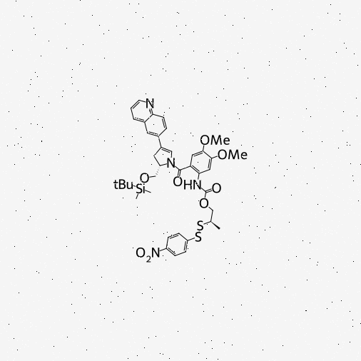 COc1cc(NC(=O)OC[C@@H](C)SSc2ccc([N+](=O)[O-])cc2)c(C(=O)N2C=C(c3ccc4ncccc4c3)C[C@H]2CO[Si](C)(C)C(C)(C)C)cc1OC